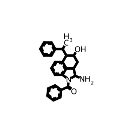 CC(c1ccccc1)C1c2cccc3c2C(CC1O)C(N)N3C(=O)c1ccccc1